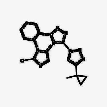 CC1(c2cn(-c3nnc4c5ccccc5n5c(Cl)ncc5n34)nn2)CC1